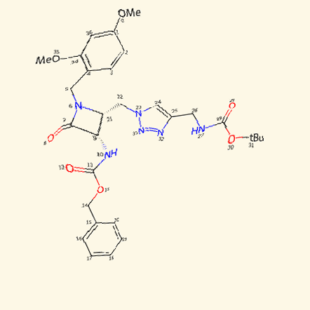 COc1ccc(CN2C(=O)[C@@H](NC(=O)OCc3ccccc3)[C@H]2Cn2cc(CNC(=O)OC(C)(C)C)nn2)c(OC)c1